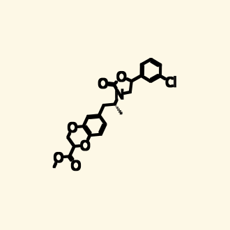 COC(=O)C1COc2cc(C[C@@H](C)N3CC(c4cccc(Cl)c4)OC3=O)ccc2O1